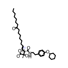 CCCCCCCC(=O)CCCCCC/C=C/[C@H](C(=O)NCCc1ccc(OC2CCCCC2)cc1)[C@](C)(O)C(=O)O